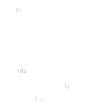 FC(F)(F)C1=Nc2ccccc2Cc2c1[nH]c1ccc(Br)cc21